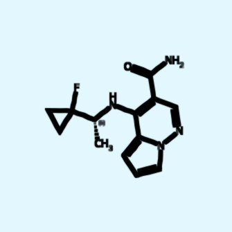 C[C@@H](Nc1c(C(N)=O)cnn2cccc12)C1(F)CC1